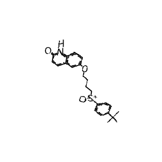 CC(C)(C)c1ccc([S+]([O-])CCCCOc2ccc3[nH]c(=O)ccc3c2)cc1